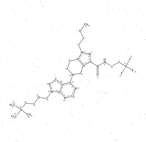 COCCn1nc(C(=O)NCCC(F)(F)F)c2c1CCN(c1ncnc3c1ccn3COCC[Si](C)(C)C)C2